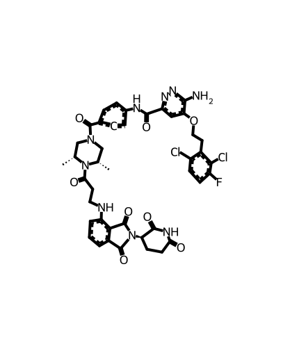 C[C@@H]1CN(C(=O)c2ccc(NC(=O)c3cc(OCCc4c(Cl)ccc(F)c4Cl)c(N)nn3)cc2)C[C@H](C)N1C(=O)CCNc1cccc2c1C(=O)N([C@@H]1CCC(=O)NC1=O)C2=O